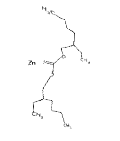 CCCCC(CC)COC(=S)SCC(CC)CCCC.[Zn]